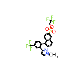 Cn1ccc(-c2cc(C(F)(F)F)ccc2-c2cccc3cc(S(=O)(=O)OCC(F)(F)F)ccc23)n1